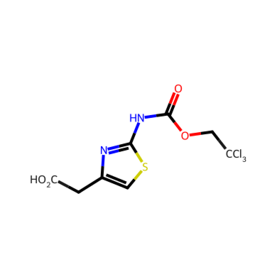 O=C(O)Cc1csc(NC(=O)OCC(Cl)(Cl)Cl)n1